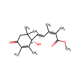 COC(=O)/C(C)=C(C)\C=C\[C@@]1(O)C(C)=C(C)C(=O)CC1(C)C